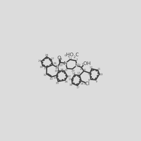 O=C(O)[C@@H]1CN(C(O)C(c2ccccc2)c2ccccc2Cl)CCN1C(=O)N1c2ccccc2C=Cc2ccccc21